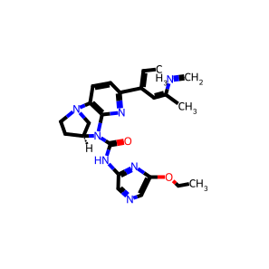 C=N/C(C)=C\C(=C/C)c1ccc2c(n1)N(C(=O)Nc1cncc(OCC)n1)[C@H]1CCN2C1